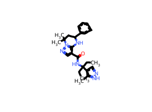 CCC(CC)(NC(=O)c1cnn2c1NC(c1ccccc1)CC2(C)C)c1cn[nH]c1C